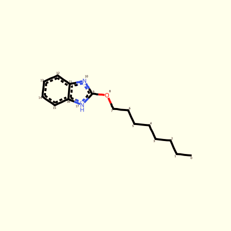 CCCCCCCCOc1nc2ccccc2[nH]1